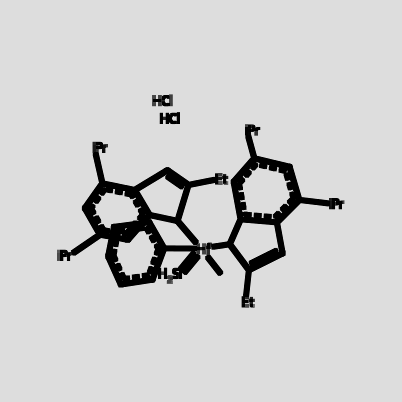 CCC1=Cc2c(C(C)C)cc(C(C)C)cc2[CH]1[Hf]([CH3])(=[SiH2])([c]1ccccc1)[CH]1C(CC)=Cc2c(C(C)C)cc(C(C)C)cc21.Cl.Cl